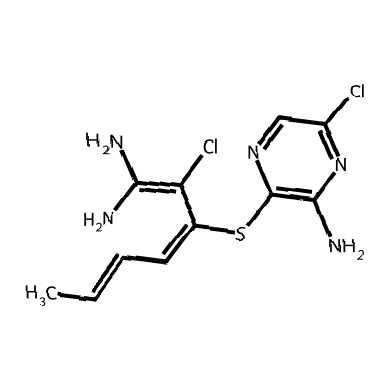 C/C=C/C=C(/Sc1ncc(Cl)nc1N)C(Cl)=C(N)N